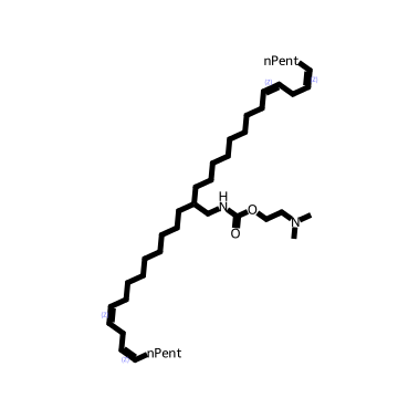 CCCCC/C=C\C/C=C\CCCCCCCCC(CCCCCCCC/C=C\C/C=C\CCCCC)CNC(=O)OCCN(C)C